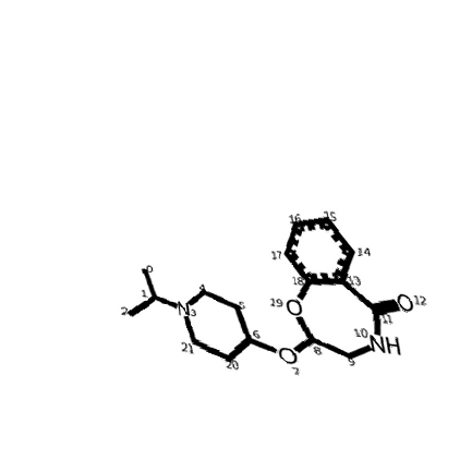 CC(C)N1CCC(OC2CNC(=O)c3ccccc3O2)CC1